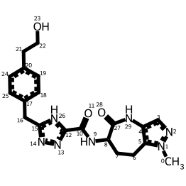 Cn1ncc2c1CCC(NC(=O)c1nnc(Cc3ccc(CCO)cc3)[nH]1)C(=O)N2